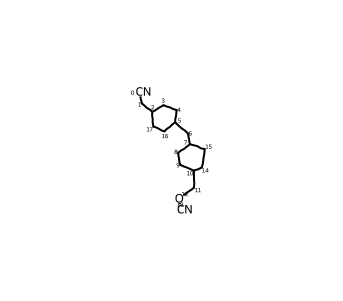 N#CCC1CCC(CC2CCC(COC#N)CC2)CC1